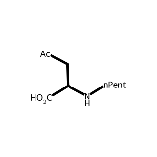 CCCCCNC(CC(C)=O)C(=O)O